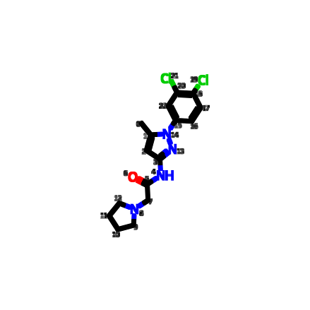 Cc1cc(NC(=O)CN2CCCC2)nn1-c1ccc(Cl)c(Cl)c1